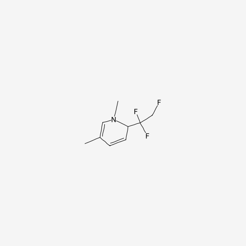 CC1=CN(C)C(C(F)(F)CF)C=C1